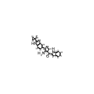 Nc1c(C(=O)c2cc3ccccc3[nH]2)cnn1-c1ccc2[nH]c(C3(F)CC3)nc2c1